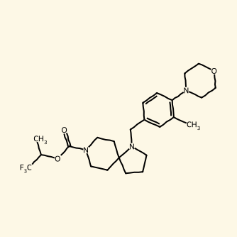 Cc1cc(CN2CCCC23CCN(C(=O)OC(C)C(F)(F)F)CC3)ccc1N1CCOCC1